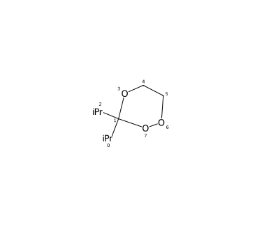 CC(C)C1(C(C)C)OCCOO1